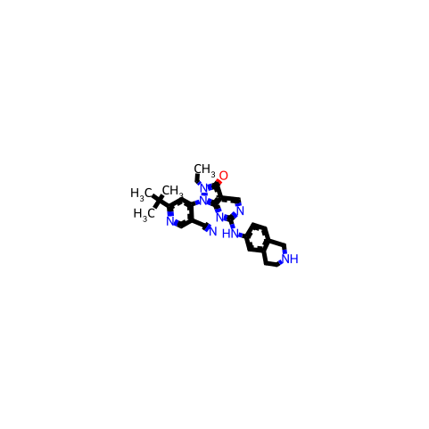 CCn1c(=O)c2cnc(Nc3ccc4c(c3)CCNC4)nc2n1-c1cc(C(C)(C)C)ncc1C#N